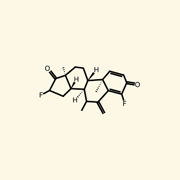 C=C1C2=C(F)C(=O)C=C[C@]2(C)[C@H]2CC[C@]3(C)C(=O)C(F)C[C@H]3[C@@H]2C1C